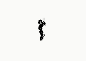 Cc1cccc(-c2[nH]cnc2-c2ccc3ncc(-c4ccc(C(=O)O[C@H]5CCN(C)C5)cc4)cc3c2)n1